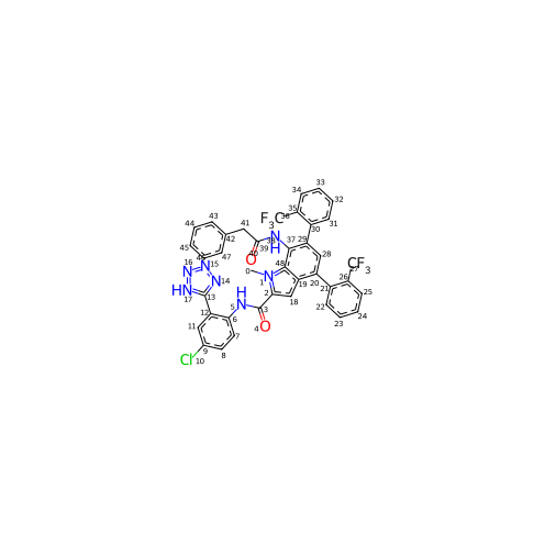 Cn1c(C(=O)Nc2ccc(Cl)cc2-c2nnn[nH]2)cc2c(-c3ccccc3C(F)(F)F)cc(-c3ccccc3C(F)(F)F)c(NC(=O)Cc3ccccc3)c21